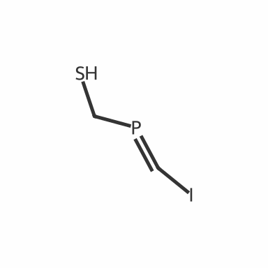 SCP=CI